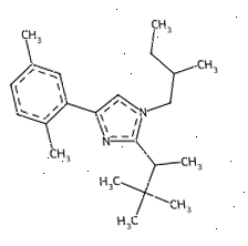 CCC(C)Cn1cc(-c2cc(C)ccc2C)nc1C(C)C(C)(C)C